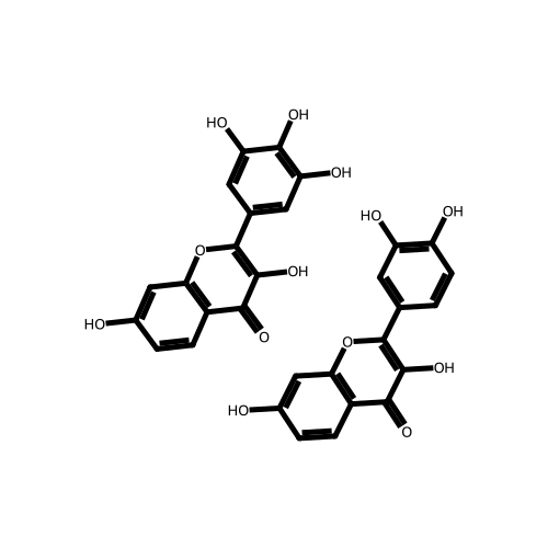 O=c1c(O)c(-c2cc(O)c(O)c(O)c2)oc2cc(O)ccc12.O=c1c(O)c(-c2ccc(O)c(O)c2)oc2cc(O)ccc12